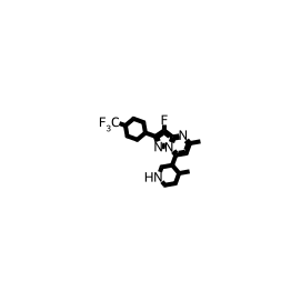 Cc1cc(C2CNCCC2C)n2nc(C3CCC(C(F)(F)F)CC3)c(F)c2n1